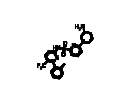 Cc1ccccc1-c1nc(NS(=O)(=O)c2cccc(N3CCC[C@H](N)C3)n2)ccc1C(F)(F)F